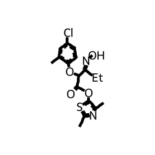 CCC(=NO)C(Oc1ccc(Cl)cc1C)C(=O)Oc1sc(C)nc1C